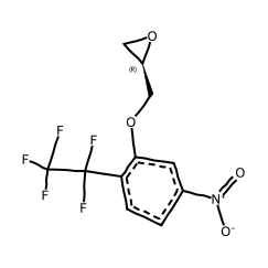 O=[N+]([O-])c1ccc(C(F)(F)C(F)(F)F)c(OC[C@H]2CO2)c1